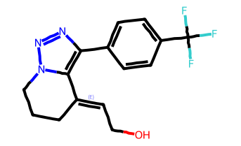 OC/C=C1\CCCn2nnc(-c3ccc(C(F)(F)F)cc3)c21